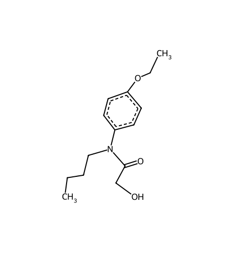 CCCCN(C(=O)CO)c1ccc(OCC)cc1